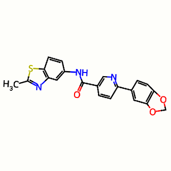 Cc1nc2cc(NC(=O)c3ccc(-c4ccc5c(c4)OCO5)nc3)ccc2s1